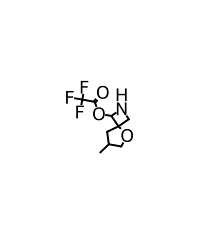 CC1COC2(CNC2OC(=O)C(F)(F)F)C1